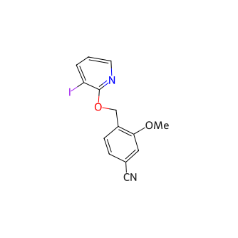 COc1cc(C#N)ccc1COc1ncccc1I